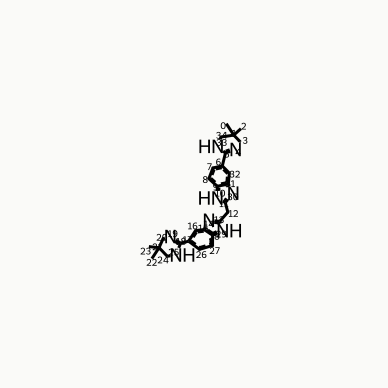 CC1(C)CN=C(c2ccc3[nH]c(Cc4nc5cc(C6=NCC(C)(C)CN6)ccc5[nH]4)nc3c2)NC1